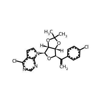 C=C(c1ccc(Cl)cc1)[C@H]1O[C@@H](n2ccc3c(Cl)ncnc32)[C@@H]2OC(C)(C)O[C@@H]21